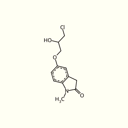 CN1C(=O)Cc2cc(OCC(O)CCl)ccc21